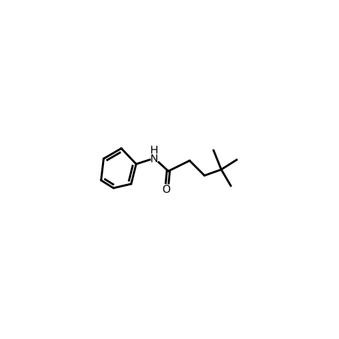 CC(C)(C)CCC(=O)Nc1ccccc1